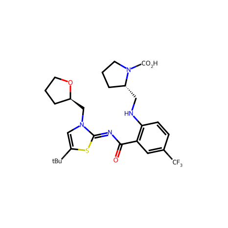 CC(C)(C)c1cn(C[C@H]2CCCO2)/c(=N/C(=O)c2cc(C(F)(F)F)ccc2NC[C@@H]2CCCN2C(=O)O)s1